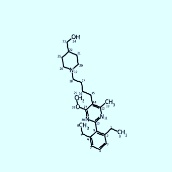 CCc1cccc(CC)c1-c1nc(C)c(CCCCN2CCC(CO)CC2)c(OC)n1